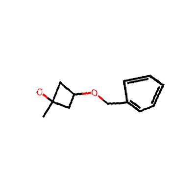 CC1([O])CC(OCc2ccccc2)C1